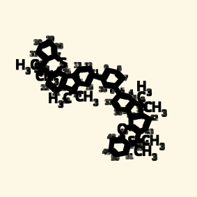 CC1(C)c2cc(-c3cccc(-c4ccc5c(c4)C(C)(C)c4ccc6c(c4-5)Sc4ccccc4[Si]6(C)C)c3)ccc2-c2c1ccc1c2Oc2ccccc2[Si]1(C)C